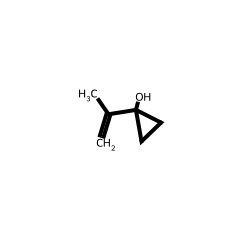 C=C(C)C1(O)CC1